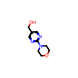 OCc1cnc(N2CCOCC2)nc1